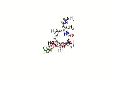 CC1=C[C@@H](C(C)=Cc2csc(C)n2)CNC(=O)C[C@H](O)C(C)(C)C(=O)[C@H](C)[C@@H](OC(=O)OCC(Cl)(Cl)Cl)[C@@H](C)C/C=C/1